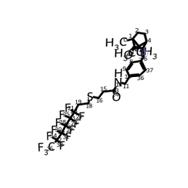 CC12CCC(/C(=C/c3ccc(CNC(=O)CCSCCC(F)(F)C(F)(F)C(F)(F)C(F)(F)C(F)(F)C(F)(F)F)cc3)C1=O)C2(C)C